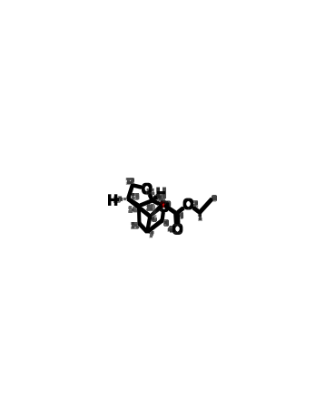 CCOC(=O)C[C@H]1C2CO[C@H]3OC[C@@H]1C3C2